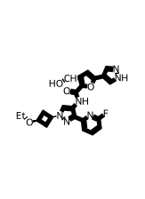 CCO[C@H]1C[C@H](n2cc(NC(=O)c3ccc(-c4cn[nH]c4)o3)c(-c3cccc(F)n3)n2)C1.O=CO